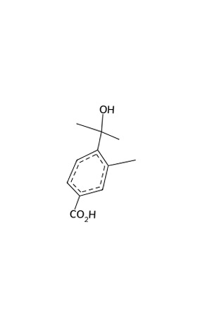 Cc1cc(C(=O)O)ccc1C(C)(C)O